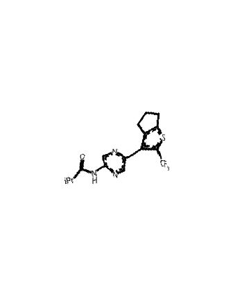 CC(C)C(=O)Nc1cnc(-c2c(C(F)(F)F)sc3c2CCC3)cn1